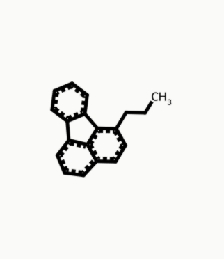 CCCc1ccc2cccc3c2c1-c1ccccc1-3